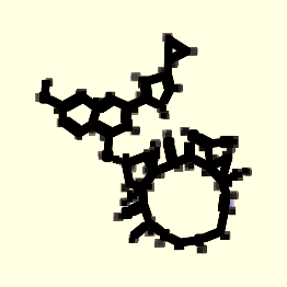 COc1ccc2c(O[C@@H]3C[C@H]4C(=O)N[C@]5(C(=O)O)C[C@H]5/C=C\CCCCN(C)C(=O)[C@@H]4C3)nc(-c3nc(C4CC4)cs3)cc2c1